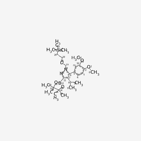 COc1ccc(-c2c(C(C)C)c(B3OC(C)(C)C(C)(C)O3)nn2COCC[Si](C)(C)C)cc1OC